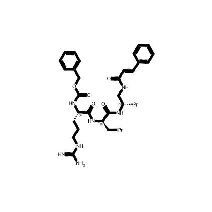 CC(C)C[C@@H](NC(=O)[C@H](CCCNC(=N)N)NC(=O)OCc1ccccc1)C(=O)N[C@H](CNC(=O)/C=C/c1ccccc1)C(C)C